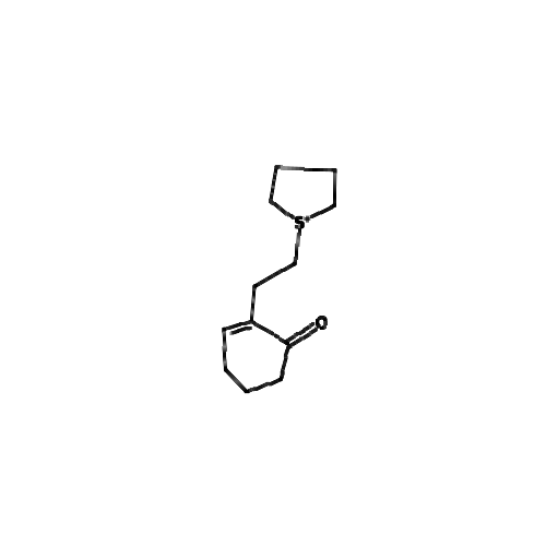 O=C1CCCC=C1CC[S+]1CCCC1